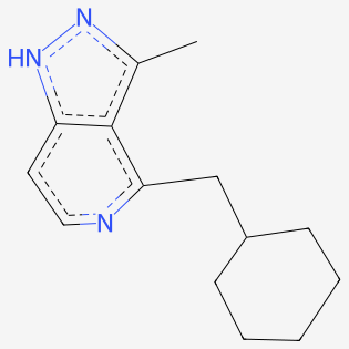 Cc1n[nH]c2ccnc(CC3CCCCC3)c12